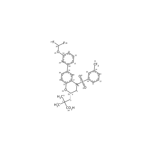 CC(C)(C[C@H]1CN(S(=O)(=O)c2cccc(C(F)(F)F)c2)c2cc(-c3cccc(OC(F)F)n3)ccc2O1)C(=O)O